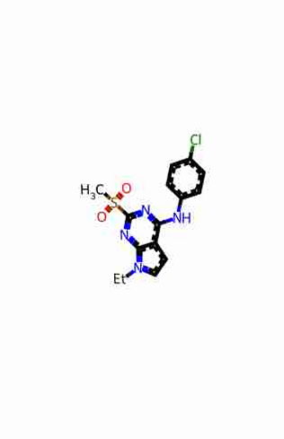 CCn1ccc2c(Nc3ccc(Cl)cc3)nc(S(C)(=O)=O)nc21